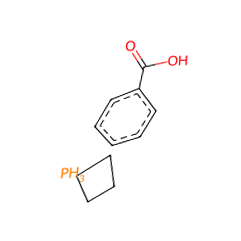 C1CCC1.O=C(O)c1ccccc1.P